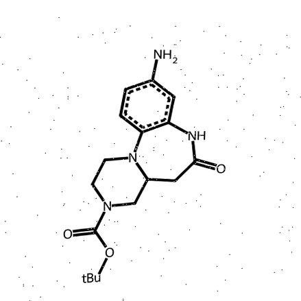 CC(C)(C)OC(=O)N1CCN2c3ccc(N)cc3NC(=O)CC2C1